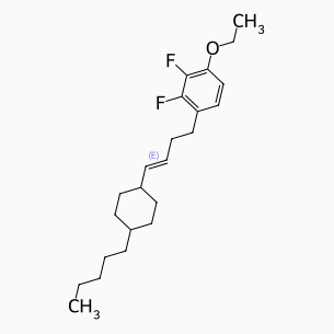 CCCCCC1CCC(/C=C/CCc2ccc(OCC)c(F)c2F)CC1